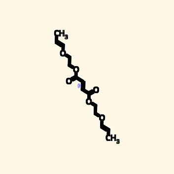 CC=COCCOC(=O)/C=C/C(=O)OCCOC=CC